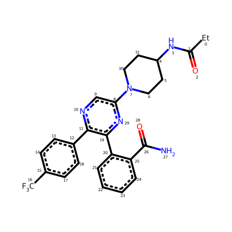 CCC(=O)NC1CCN(c2cnc(-c3ccc(C(F)(F)F)cc3)c(-c3ccccc3C(N)=O)n2)CC1